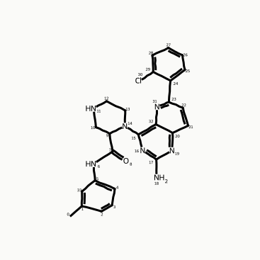 Cc1cccc(NC(=O)C2CNCCN2c2nc(N)nc3ccc(-c4ccccc4Cl)nc23)c1